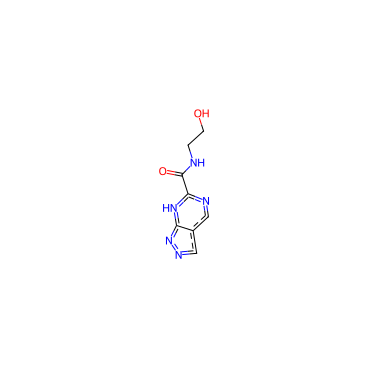 O=C(NCCO)c1ncc2cnnc-2[nH]1